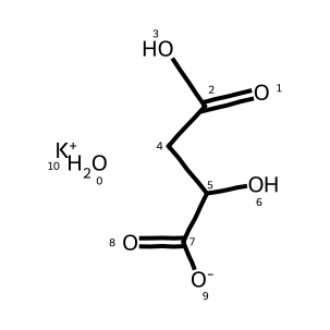 O.O=C(O)CC(O)C(=O)[O-].[K+]